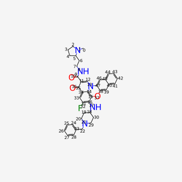 CN1CCCC1CCNC(=O)c1cn2c3c(c(NC4CCN(Cc5ccccc5)CC4)c(F)cc3c1=O)Oc1cc3ccccc3cc1-2